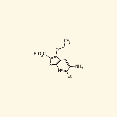 CCOC(=O)c1sc2nc(CC)c(N)cc2c1OCC(F)(F)F